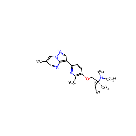 Cc1nc(-c2cnn3cc(C#N)cnc23)ccc1OC[C@](C)(CC(C)C)N(C(=O)O)C(C)(C)C